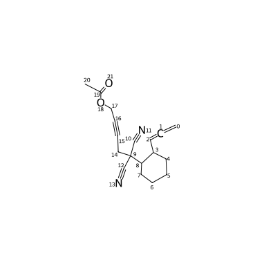 C=C=CC1CCCCC1C(C#N)(C#N)CC#CCOC(C)=O